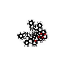 C[Si]1=C(c2ncc3ccccc3n2)C(c2ccccc2)=C(c2ccccc2)C1(CCC1(c2ncc3ccccc3n2)C(c2ccccc2)=C(c2ccccc2)C(c2ncc3ccccc3n2)=[Si]1C)c1ncc2ccccc2n1